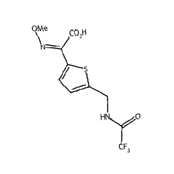 CON=C(C(=O)O)c1ccc(CNC(=O)C(F)(F)F)s1